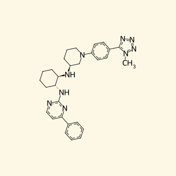 Cn1nnnc1-c1ccc(N2CCC[C@H](N[C@@H]3CCCC[C@H]3Nc3nccc(-c4ccccc4)n3)C2)cc1